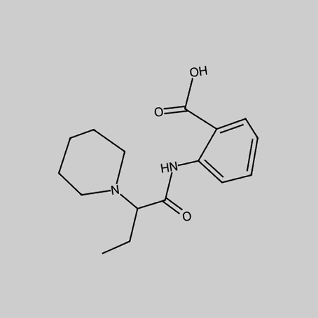 CCC(C(=O)Nc1ccccc1C(=O)O)N1CCCCC1